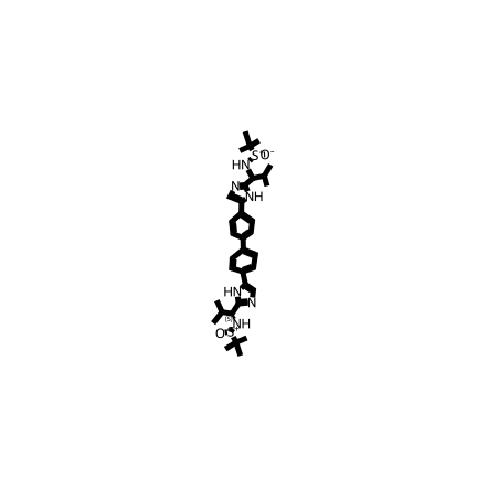 CC(C)C(N[S+]([O-])C(C)(C)C)c1ncc(-c2ccc(-c3ccc(-c4cnc([C@@H](N[S+]([O-])C(C)(C)C)C(C)C)[nH]4)cc3)cc2)[nH]1